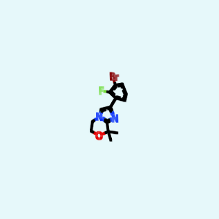 CC1(C)OCCn2cc(-c3cccc(Br)c3F)nc21